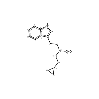 O=CN(CCc1c[nH]c2ccccc12)OCC1CC1